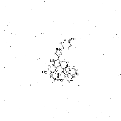 CC(C)(C)N1CCC(n2cc(C(Nc3cc(Cl)c4ncc(C#N)c(N[C@@H]5CCOc6ccccc65)c4c3)c3ccccc3)nn2)CC1